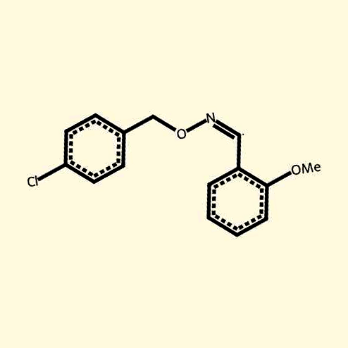 COc1ccccc1/[C]=N\OCc1ccc(Cl)cc1